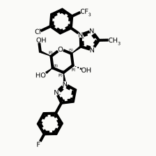 Cc1nc([C@@H]2O[C@H](CO)[C@H](O)[C@H](n3ccc(-c4ccc(F)cc4)n3)[C@H]2O)n(-c2cc(Cl)ccc2C(F)(F)F)n1